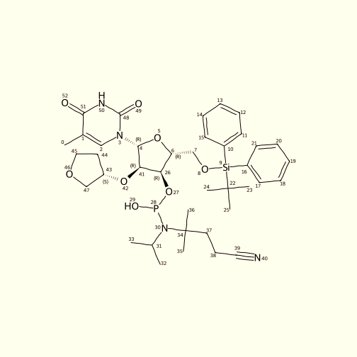 Cc1cn([C@@H]2O[C@H](CO[Si](c3ccccc3)(c3ccccc3)C(C)(C)C)[C@@H](OP(O)N(C(C)C)C(C)(C)CCC#N)[C@H]2O[C@H]2CCOC2)c(=O)[nH]c1=O